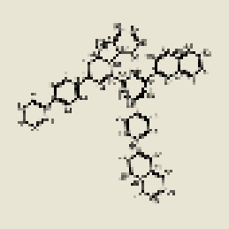 C1=C(c2ccc(-c3ccccc3)cc2)C=C(c2nc(-c3ccc(-c4ccc5ccccc5c4)cc3)nc(-c3ccc4ccccc4c3)n2)C2c3ccccc3OC12